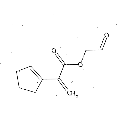 C=C(C(=O)OCC=O)C1=CCCC1